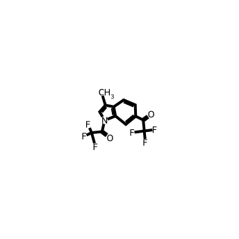 Cc1cn(C(=O)C(F)(F)F)c2cc(C(=O)C(F)(F)F)ccc12